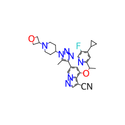 Cc1c(-c2cc(OC(C)c3cc(C4CC4)c(F)cn3)c3c(C#N)cnn3c2)nnn1C1CCN(C2COC2)CC1